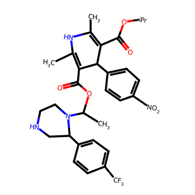 CC1=C(C(=O)OC(C)C)C(c2ccc([N+](=O)[O-])cc2)C(C(=O)OC(C)N2CCNCC2c2ccc(C(F)(F)F)cc2)=C(C)N1